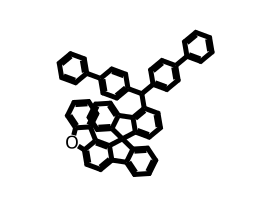 c1ccc(-c2ccc(C(c3ccc(-c4ccccc4)cc3)c3cccc4c3-c3ccccc3C43c4ccccc4-c4ccc5oc6ccccc6c5c43)cc2)cc1